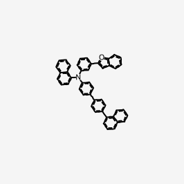 c1cc(-c2cc3ccccc3o2)cc(N(c2ccc(-c3ccc(-c4cccc5ccccc45)cc3)cc2)c2cccc3ccccc23)c1